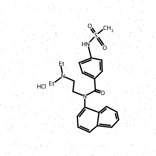 CCN(CC)CCN(C(=O)c1ccc(NS(C)(=O)=O)cc1)c1cccc2ccccc12.Cl